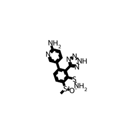 C[S+]([O-])c1ccc(-c2ccc(N)nc2)c(-c2nn[nH]n2)c1SN